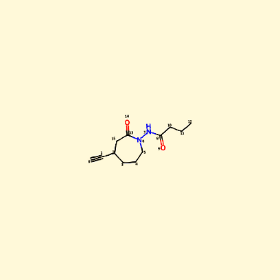 C#CC1CCCN(NC(=O)CCC)C(=O)C1